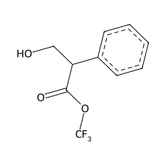 O=C(OC(F)(F)F)C(CO)c1ccccc1